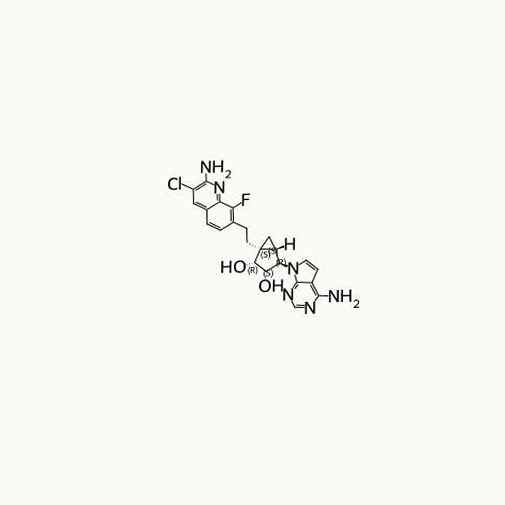 Nc1nc2c(F)c(CC[C@]34C[C@@H]3[C@@H](n3ccc5c(N)ncnc53)[C@H](O)[C@@H]4O)ccc2cc1Cl